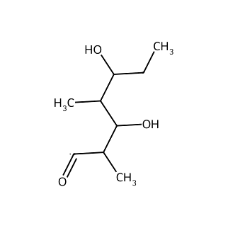 CCC(O)C(C)C(O)C(C)[C]=O